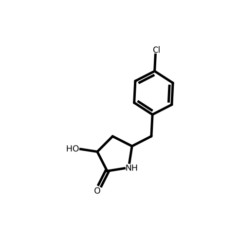 O=C1NC(Cc2ccc(Cl)cc2)CC1O